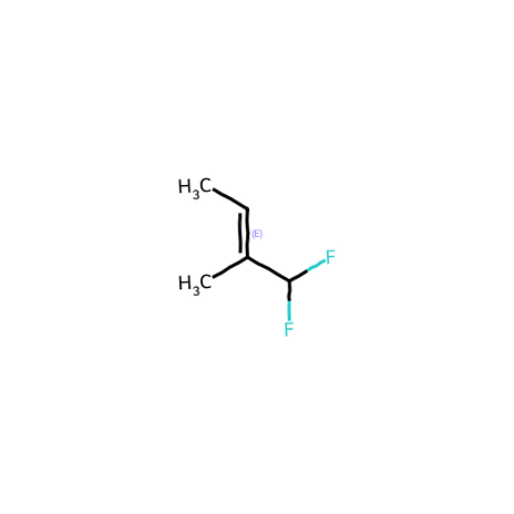 C/C=C(\C)C(F)F